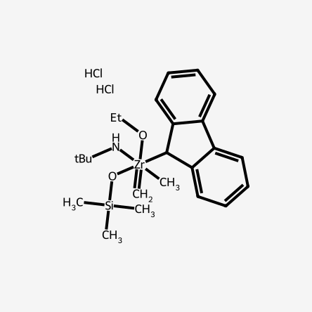 Cl.Cl.[CH2]=[Zr]([CH3])([NH]C(C)(C)C)([O]CC)([O][Si](C)(C)C)[CH]1c2ccccc2-c2ccccc21